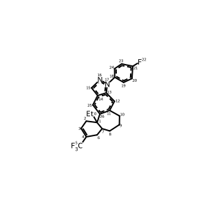 CCC12CC=C(C(F)(F)F)CC1CCCc1cc3c(cnn3-c3ccc(F)cc3)cc12